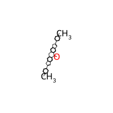 Cc1ccc(C2=Cc3cc4c(cc3C2)Cc2cc3c(cc2C4=O)C=C(c2ccc(C)cc2)C3)cc1